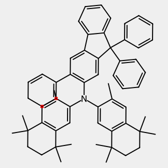 Cc1cc2c(cc1N(c1cc3c(cc1C)C(C)(C)CCC3(C)C)c1cc3c(cc1C1=CCCC=C1)-c1ccccc1C3(c1ccccc1)c1ccccc1)C(C)(C)CCC2(C)C